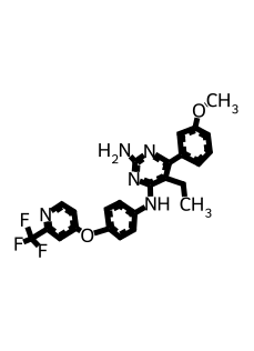 CCc1c(Nc2ccc(Oc3ccnc(C(F)(F)F)c3)cc2)nc(N)nc1-c1cccc(OC)c1